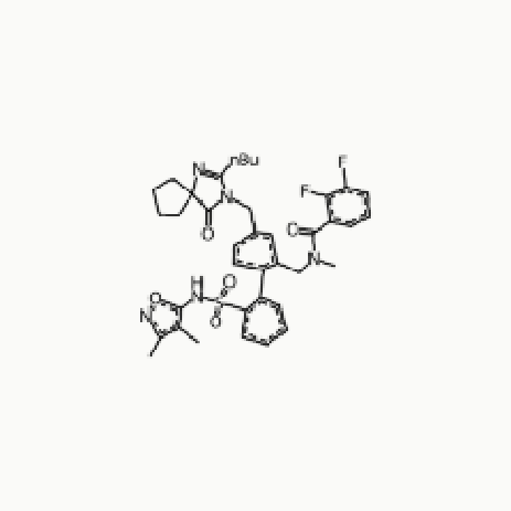 CCCCC1=NC2(CCCC2)C(=O)N1Cc1ccc(-c2ccccc2S(=O)(=O)Nc2onc(C)c2C)c(CN(C)C(=O)c2cccc(F)c2F)c1